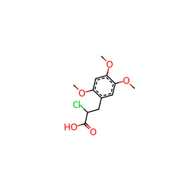 COc1cc(OC)c(OC)cc1CC(Cl)C(=O)O